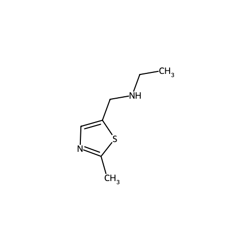 CCNCc1cnc(C)s1